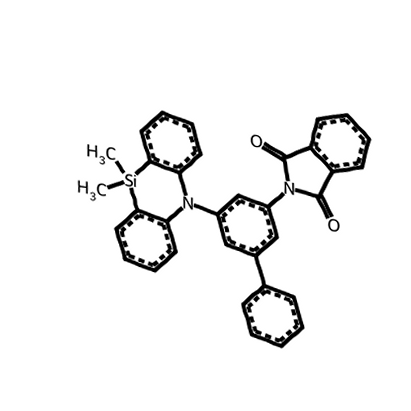 C[Si]1(C)c2ccccc2N(c2cc(-c3ccccc3)cc(N3C(=O)c4ccccc4C3=O)c2)c2ccccc21